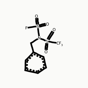 O=S(=O)(F)N(Cc1ccccc1)S(=O)(=O)C(F)(F)F